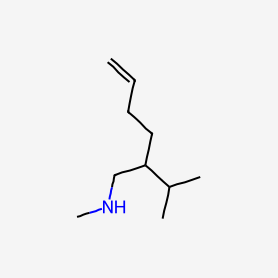 C=CCCC(CNC)C(C)C